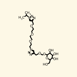 CC(C)n1cc(COCCOCCOCCn2cc(COCOC3OC(CO)C(O)C(O)C3O)nn2)nn1